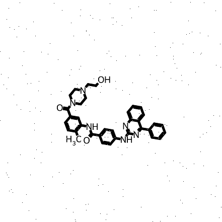 Cc1ccc(C(=O)N2CCN(CCO)CC2)cc1NC(=O)c1ccc(Nc2nc(-c3ccccc3)c3ccccc3n2)cc1